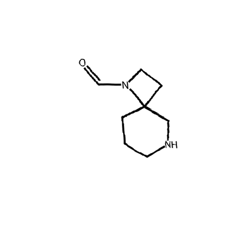 O=CN1CCC12CCCNC2